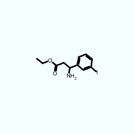 CCOC(=O)CC(N)c1cccc(I)c1